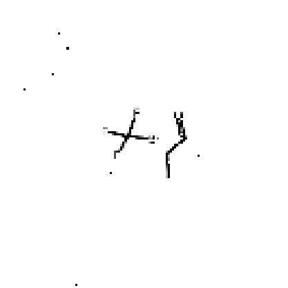 CCC=O.FC(F)(F)Br